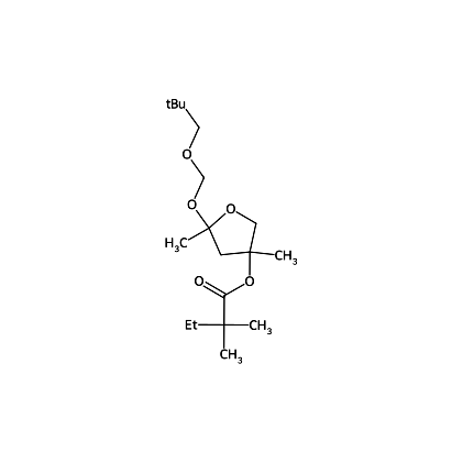 CCC(C)(C)C(=O)OC1(C)COC(C)(OCOCC(C)(C)C)C1